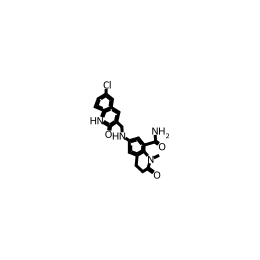 CN1C(=O)CCc2cc(NCc3cc4cc(Cl)ccc4[nH]c3=O)cc(C(N)=O)c21